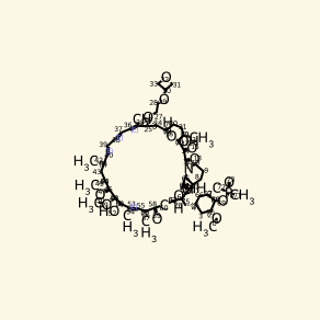 CO[C@@H]1C[C@H](CC2[C@H]3CCCN4C(=O)C(=O)[C@]5(O)O[C@@H](CC[C@H]5C)CC(OCCOC5COC5)/C(C)=C/C=C/C=C/[C@@H](C)C[C@@H](C)C(=O)[C@H](OC)[C@H](O)/C(C)=C/[C@@H](C)C(=O)C[C@@H]2OC(=O)C34)CC[C@H]1OP(C)(C)=O